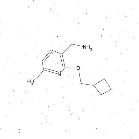 Cc1ccc(CN)c(OCC2CCC2)n1